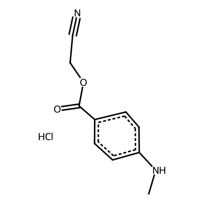 CNc1ccc(C(=O)OCC#N)cc1.Cl